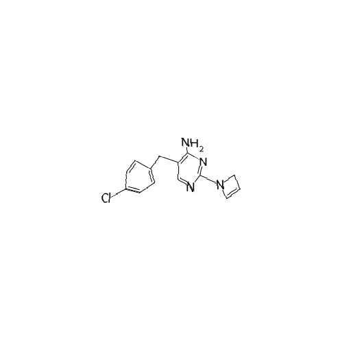 Nc1nc(N2C=CC2)ncc1Cc1ccc(Cl)cc1